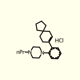 CCCN1CCN(c2ccccc2C2=CCC3(CCCC3)CC2)CC1.Cl